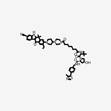 CCc1cc2c(cc1N1CCC(N3CCN(C(=O)CCCCCCC(=O)N[C@H](C(=O)N4C[C@H](O)C[C@H]4C(=O)NCc4ccc(-c5scnc5C)cc4)C(C)(C)C)CC3)CC1)C(C)(C)c1[nH]c3cc(C#N)ccc3c1C2=O